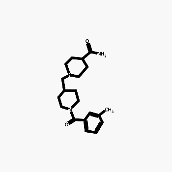 Cc1cccc(C(=O)N2CCC(CN3CCC(C(N)=O)CC3)CC2)c1